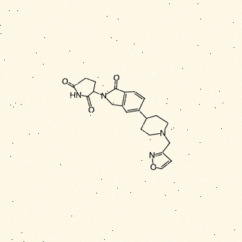 O=C1CCC(N2Cc3cc(C4CCN(Cc5ccon5)CC4)ccc3C2=O)C(=O)N1